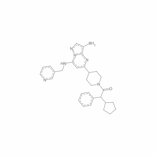 Bc1cnn2c(NCc3cccnc3)cc(C3CCN(C(=O)C(c4ccccc4)C4CCCC4)CC3)nc12